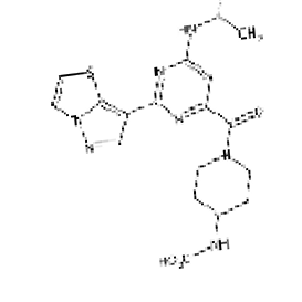 CC(C)[C@H](C)Nc1cc(C(=O)N2CCC(NC(=O)O)CC2)nc(-c2cnn3ccsc23)n1